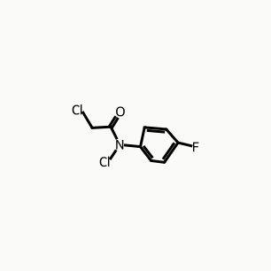 O=C(CCl)N(Cl)c1ccc(F)cc1